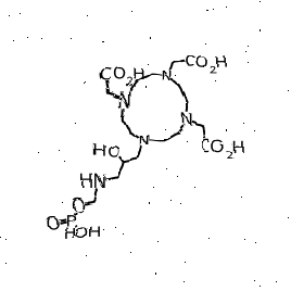 O=C(O)CN1CCN(CC(=O)O)CCN(CC(O)CNCO[PH](=O)O)CCN(CC(=O)O)CC1